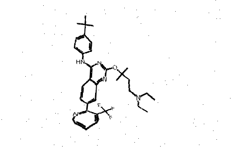 CCN(CC)CCC(C)(C)Oc1nc(Nc2ccc(C(C)(C)C)cc2)c2ccc(-c3ncccc3C(F)(F)F)cc2n1